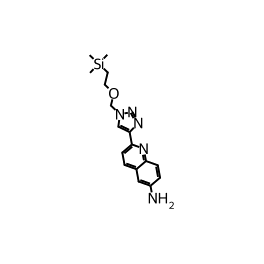 C[Si](C)(C)CCOCn1cc(-c2ccc3cc(N)ccc3n2)nn1